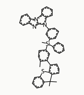 Cc1ccc([Si](C)(c2ccccc2)c2cccc(-n3c4ccccc4n4c5ccccc5nc34)c2)cc1-c1cccc2c1Sc1ccccc1C2(C)C